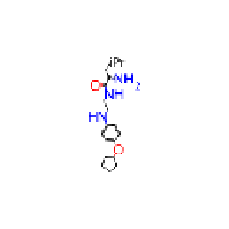 CC(C)C[C@H](N)C(=O)NCCNc1ccc(OC2CCCC2)cc1